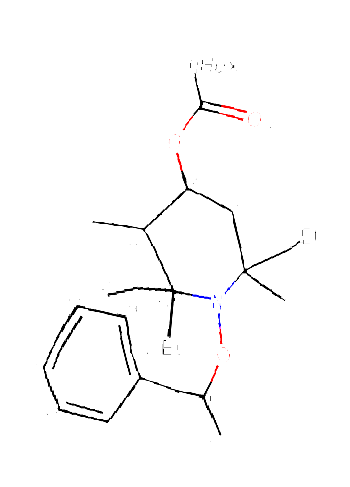 CCCCCCC(=O)OC1CC(C)(CC)N(OC(C)c2ccccc2)C(C)(CC)C1C